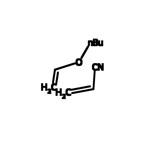 C=CC#N.C=COCCCC